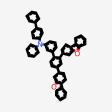 c1ccc(-c2ccc(N(c3ccccc3)c3cccc(-c4ccc(-c5ccc6c(c5)oc5ccccc56)cc4-c4ccc5c(c4)oc4ccccc45)c3)cc2)cc1